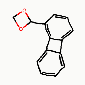 c1ccc2c(c1)-c1cccc(C3OCO3)c1-2